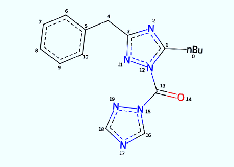 CCCCc1nc(Cc2ccccc2)nn1C(=O)n1cncn1